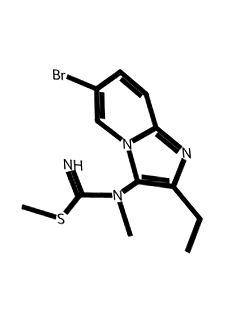 CCc1nc2ccc(Br)cn2c1N(C)C(=N)SC